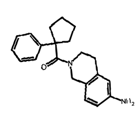 Nc1ccc2c(c1)CCN(C(=O)C1(c3ccccc3)CCCC1)C2